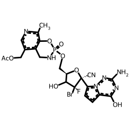 CC(=O)OCc1cnc(C)c2c1CNP(=O)(OC[C@H]1O[C@@](C#N)(c3ccc4c(O)nc(N)nn34)[C@@](F)(Br)C1O)O2